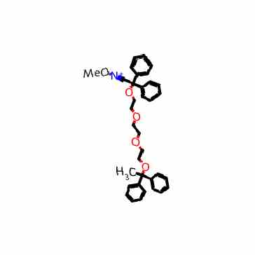 CO[N+]#CC(OCCOCCOCCOC(C)(c1ccccc1)c1ccccc1)(c1ccccc1)c1ccccc1